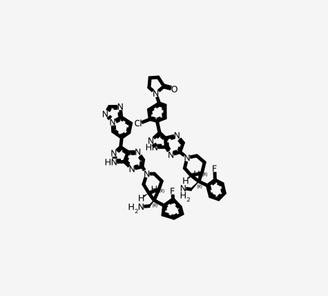 NC[C@]1(c2ccccc2F)[C@@H]2CCN(c3cnc4c(-c5ccc(N6CCCC6=O)cc5Cl)n[nH]c4n3)C[C@@H]21.NC[C@]1(c2ccccc2F)[C@@H]2CCN(c3cnc4c(-c5ccc6ncnn6c5)n[nH]c4n3)C[C@@H]21